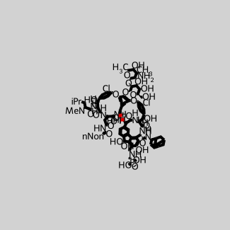 CCCCCCCCCC(=O)NC(=O)C[C@@H]1NC(=O)[C@H](NC(=O)[C@@H](CC(C)C)NC)[C@H](O)c2ccc(c(Cl)c2)Oc2cc3cc(c2O[C@@H]2O[C@H](CO)[C@@H](O)[C@H](O)[C@H]2O[C@H]2C[C@](C)(N)[C@H](O)[C@H](C)O2)Oc2ccc(cc2Cl)[C@@H](O)[C@@H]2NC(=O)[C@H](NC(=O)[C@@H]3NC1=O)c1ccc3c(c1)-c1c(cc(O)c(CNCP(=O)(O)O)c1C3(O)O)[C@@H](C(=O)NC1C3CC4CC(C3)CC1C4)NC2=O